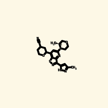 Cc1cc(-c2nsc3c(C4CC(C#N)CCO4)cc(N4CCOC[C@H]4C)nc23)[nH]n1